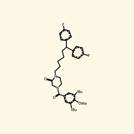 COc1c(C(C)(C)C)cc(C(=O)N2CCN(CCCCCC(c3ccc(F)cc3)c3ccc(F)cc3)C(=O)C2)cc1C(C)(C)C